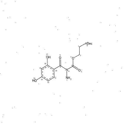 CCCCCCCCCCCCOC(=O)N(N)C(=O)c1ccc(O)cc1O